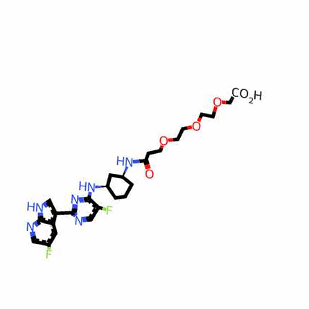 O=C(O)COCCOCCOCCC(=O)N[C@H]1CCC[C@@H](Nc2nc(-c3c[nH]c4ncc(F)cc34)ncc2F)C1